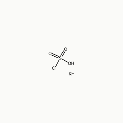 O=S(=O)(O)Cl.[KH]